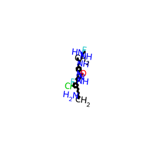 C=C[C@@H](N)CCCc1cc(Cl)c(F)c(-c2cc3cn(-c4ccc(CN[C@H](C=C)CCNC(=N)CF)cc4)c(=O)nc3[nH]2)c1